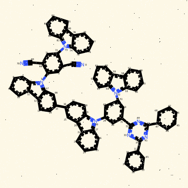 N#Cc1cc(-n2c3ccccc3c3ccc(-c4ccc5c(c4)c4ccccc4n5-c4cc(-c5nc(-c6ccccc6)nc(-c6ccccc6)n5)cc(-n5c6ccccc6c6ccccc65)c4)cc32)c(C#N)cc1-n1c2ccccc2c2ccccc21